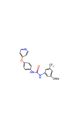 COc1cc(NC(=O)Nc2ccc(Oc3ccncc3)cc2)cc(C(F)(F)F)c1